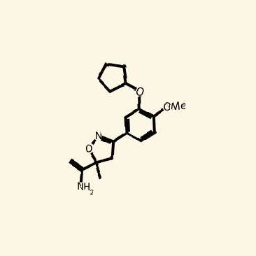 C=C(N)C1(C)CC(c2ccc(OC)c(OC3CCCC3)c2)=NO1